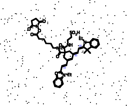 CCN1/C(=C/C=C2C=C(/C=C/c3oc4ccccc4[n+]3CC)CC(C(=O)NCCCCCC(=O)ON3C(=O)CCC3=O)(C(=O)NCCS(=O)(=O)O)C/2)C(C)(C)c2ccccc21